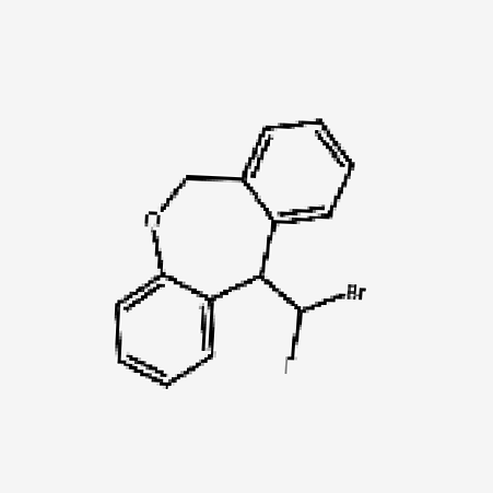 FC(Br)C1c2ccccc2COc2ccccc21